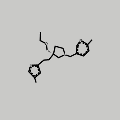 CCOC[C@]1(CCc2cc(C)cs2)CCN(Cc2ccc(C)nc2)C1